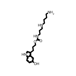 NCCCCNCCCNC(=O)OCCCc1c[nH]c2ccc(O)cc12